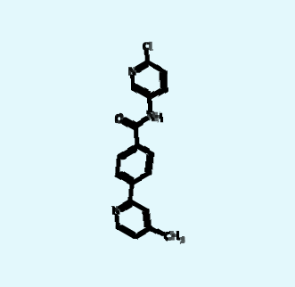 Cc1ccnc(-c2ccc(C(=O)Nc3ccc(Cl)nc3)cc2)c1